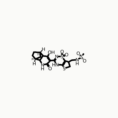 CS(=O)(=O)NCC1CSC2=C1S(=O)(=O)N=C(C1=C(O)C3C(NC1=O)[C@@H]1CC[C@H]3C1)N2